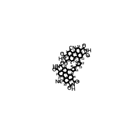 N#Cc1cc2c3c(ccc4c5c(-c6ccc(-c7ccc(-c8cc9c%10c(ccc%11c%12c(C#N)cc%13c%14c(ccc(c8c%10%11)c%14%12)C(=O)NC%13=O)C(=O)NC9=O)s7)s6)cc6c7c(ccc(c1c34)c75)C(=O)NC6=O)C(=O)NC2=O